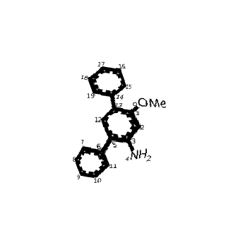 COc1cc(N)c(-c2ccccc2)cc1-c1ccccc1